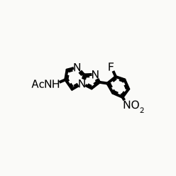 CC(=O)Nc1cnc2nc(-c3cc([N+](=O)[O-])ccc3F)cn2c1